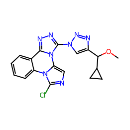 COC(c1cn(-c2nnc3c4ccccc4n4c(Cl)ncc4n23)nn1)C1CC1